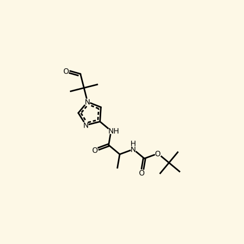 CC(NC(=O)OC(C)(C)C)C(=O)Nc1cn(C(C)(C)C=O)cn1